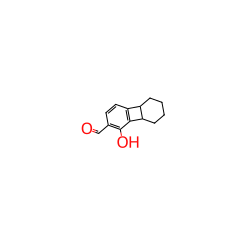 O=Cc1ccc2c(c1O)C1CCCCC21